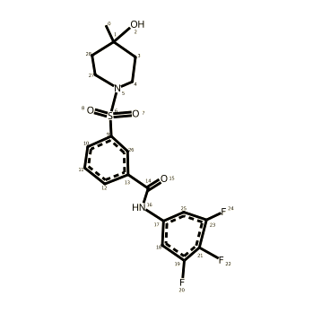 CC1(O)CCN(S(=O)(=O)c2cccc(C(=O)Nc3cc(F)c(F)c(F)c3)c2)CC1